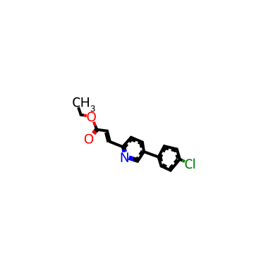 CCOC(=O)/C=C/c1ccc(-c2ccc(Cl)cc2)cn1